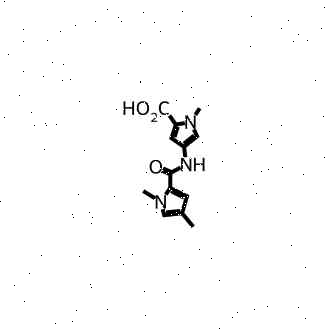 Cc1cc(C(=O)Nc2cc(C(=O)O)n(C)c2)n(C)c1